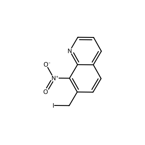 O=[N+]([O-])c1c(CI)ccc2cccnc12